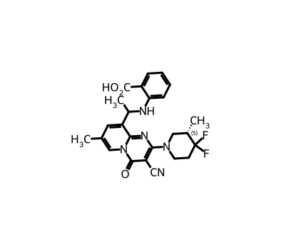 Cc1cc(C(C)Nc2ccccc2C(=O)O)c2nc(N3CCC(F)(F)[C@@H](C)C3)c(C#N)c(=O)n2c1